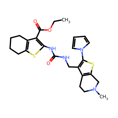 CCOC(=O)c1c(NC(=O)NCc2c(-n3cccc3)sc3c2CCN(C)C3)sc2c1CCCC2